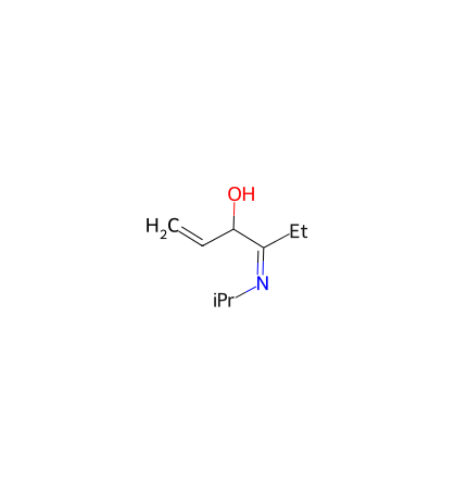 C=CC(O)C(CC)=NC(C)C